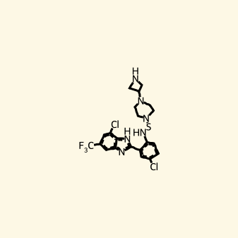 FC(F)(F)c1cc(Cl)c2[nH]c(-c3cc(Cl)ccc3NSN3CCN(C4CNC4)CC3)nc2c1